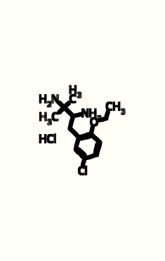 CCOc1ccc(Cl)cc1CC(N)C(C)(C)N.Cl